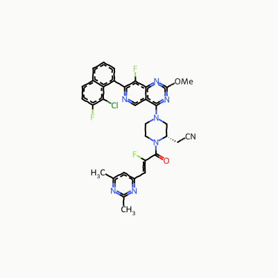 COc1nc(N2CCN(C(=O)/C(F)=C/c3cc(C)nc(C)n3)[C@@H](CC#N)C2)c2cnc(-c3cccc4ccc(F)c(Cl)c34)c(F)c2n1